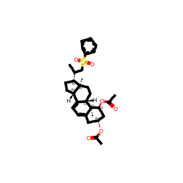 CC(=O)O[C@@H]1CC2=CC=C3[C@@H]4CC[C@H](C(C)CS(=O)(=O)c5ccccc5)[C@@]4(C)CC[C@@H]3[C@@]2(C)[C@@H](OC(C)=O)C1